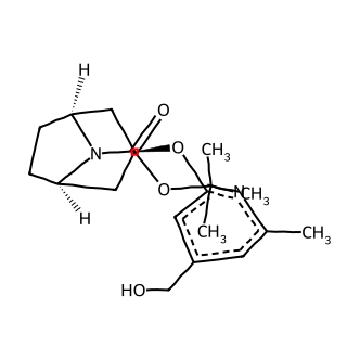 Cc1cc(CO)cc(O[C@H]2C[C@H]3CC[C@@H](C2)N3C(=O)OC(C)(C)C)n1